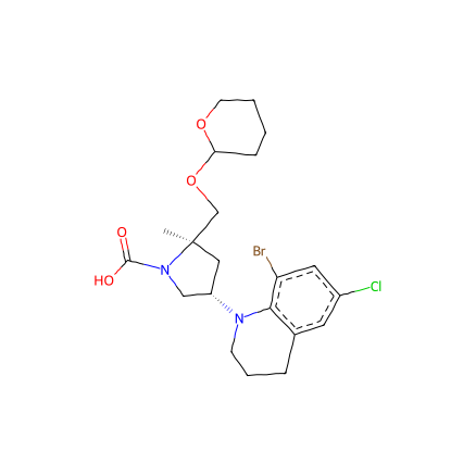 C[C@]1(COC2CCCCO2)C[C@H](N2CCCc3cc(Cl)cc(Br)c32)CN1C(=O)O